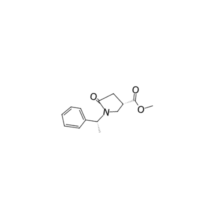 COC(=O)[C@H]1CC(=O)N([C@H](C)c2ccccc2)C1